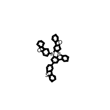 c1ccc2c(c1)B1c3cc4oc5ccccc5c4cc3N(c3ccc4oc5ccccc5c4c3)c3cc(-c4ccc5sc6ccccc6c5c4)cc-2c31